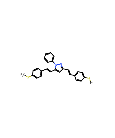 FC(F)(F)Sc1ccc(C=Cc2cc(C=Cc3ccc(SC(F)(F)F)cc3)n(-c3ccccc3)n2)cc1